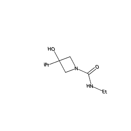 CCNC(=O)N1CC(O)(C(C)C)C1